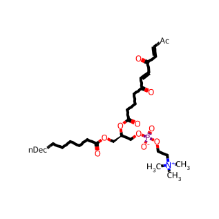 CCCCCCCCCCCCCCCC(=O)OC[C@H](COP(=O)([O-])OCC[N+](C)(C)C)OC(=O)CCCC(=O)C=CC(=O)C=CC(C)=O